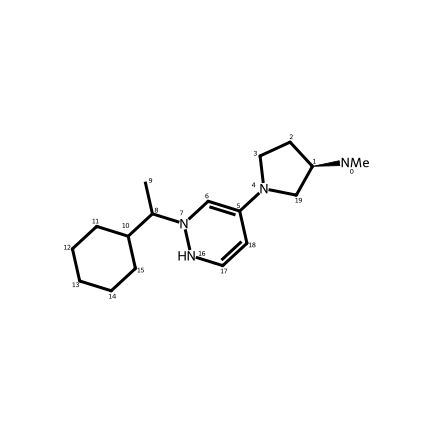 CN[C@@H]1CCN(C2=CN(C(C)C3CCCCC3)NC=C2)C1